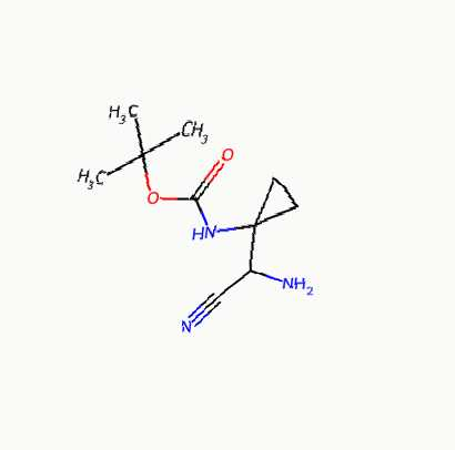 CC(C)(C)OC(=O)NC1(C(N)C#N)CC1